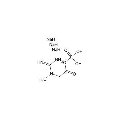 CN(CC(=O)OP(=O)(O)O)C(=N)N.[NaH].[NaH].[NaH]